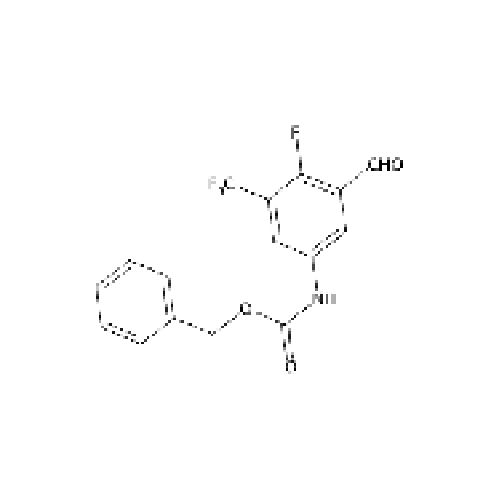 O=Cc1cc(NC(=O)OCc2ccccc2)cc(C(F)(F)F)c1F